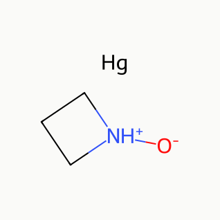 [Hg].[O-][NH+]1CCC1